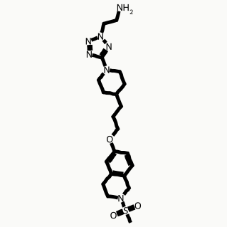 CS(=O)(=O)N1CCc2cc(OCCCC3CCN(c4nnn(CCN)n4)CC3)ccc2C1